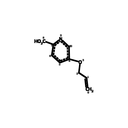 C=CCOc1ccc(C(=O)O)nc1